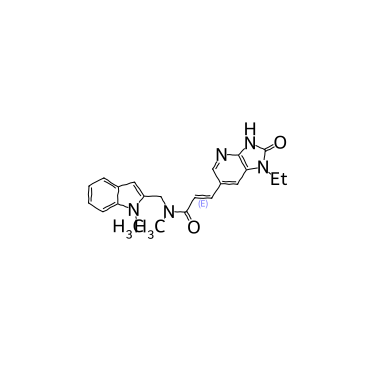 CCn1c(=O)[nH]c2ncc(/C=C/C(=O)N(C)Cc3cc4ccccc4n3C)cc21